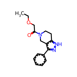 CCOCC(=O)N1CCc2[nH]nc(-c3ccccc3)c2C1